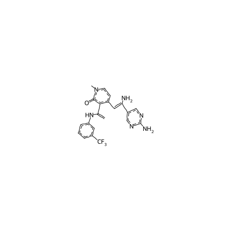 C=C(Nc1cccc(C(F)(F)F)c1)c1c(/C=C(\N)c2cnc(N)nc2)ccn(C)c1=O